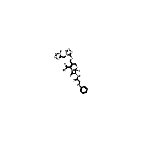 Cn1nnnc1Cn1nnnc1SCC1=C(C(=O)O)N2C(=O)[C@@H](NC(=O)CNc3ccccc3)[C@H]2SC1